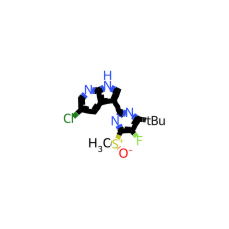 C[S+]([O-])c1nc(-c2c[nH]c3ncc(Cl)cc23)nc(C(C)(C)C)c1F